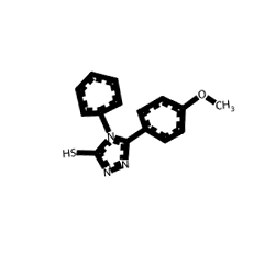 COc1ccc(-c2nnc(S)n2-c2ccccc2)cc1